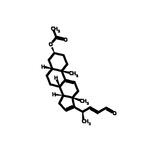 CC(=O)O[C@@H]1CC[C@]2(C)C3=CC[C@]4(C)C([C@H](C)/C=C/C=O)=CC[C@H]4[C@@H]3CC[C@@H]2C1